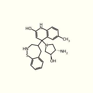 Cc1ccc2c(c1)C(C1CNSc3ccccc3C1)(N1C[C@H](N)[C@@H](O)C1)C=C(O)N2